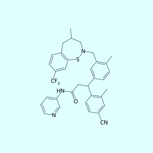 Cc1ccc(C(CC(=O)Nc2cccnc2)c2ccc(C#N)cc2C)cc1CN1CC(C)Cc2ccc(C(F)(F)F)cc2S1